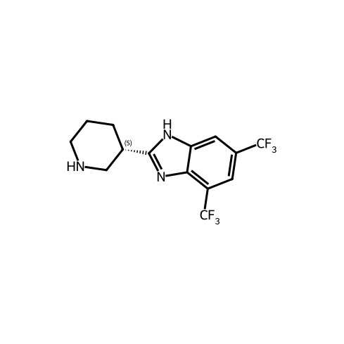 FC(F)(F)c1cc(C(F)(F)F)c2nc([C@H]3CCCNC3)[nH]c2c1